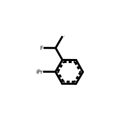 [CH2]C(F)c1ccccc1C(C)C